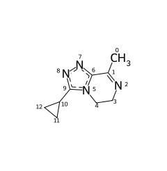 CC1=NCCn2c1nnc2C1CC1